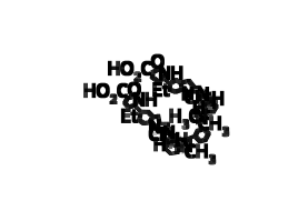 CCc1cc(C(=O)O)c(=O)[nH]c1-c1ccc2c(c1)cc(CN1C[C@H]3CCC[C@@H](N(C)Cc4ccccc4)[C@H]3C1)n2C.CCc1cc(C(=O)O)c(=O)[nH]c1-c1ccc2c(c1)cc(CN1C[C@H]3CC[C@@H](N(C)C)[C@H]3C1)n2C